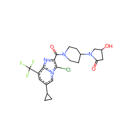 O=C(c1nc2c(C(F)(F)F)cc(C3CC3)cn2c1Cl)N1CCC(N2CC(O)CC2=O)CC1